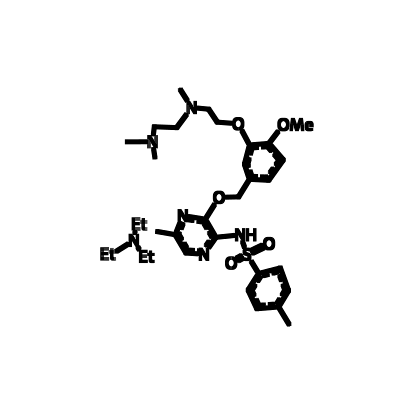 CCN(CC)CC.COc1ccc(COc2nc(C)cnc2NS(=O)(=O)c2ccc(C)cc2)cc1OCCN(C)CCN(C)C